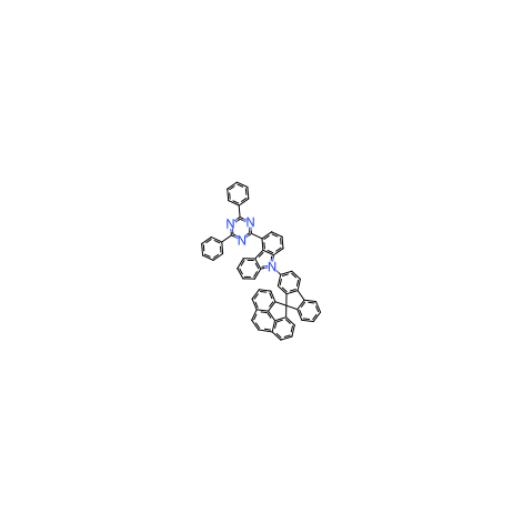 c1ccc(-c2nc(-c3ccccc3)nc(-c3cccc4c3c3ccccc3n4-c3ccc4c(c3)C3(c5ccccc5-4)c4cccc5ccc6cccc3c6c45)n2)cc1